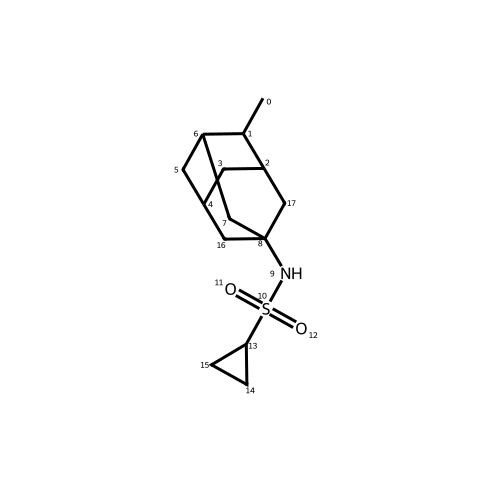 CC1C2CC3CC1CC(NS(=O)(=O)C1CC1)(C3)C2